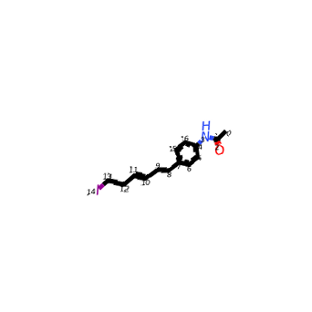 CC(=O)Nc1ccc(CCC=CCCI)cc1